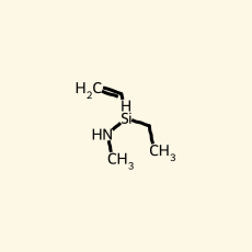 C=C[SiH](CC)NC